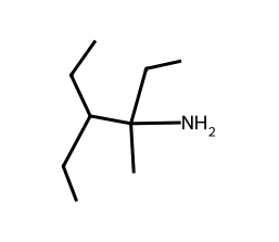 CCC(CC)C(C)(N)CC